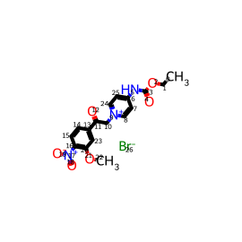 CCOC(=O)Nc1cc[n+](CC(=O)c2ccc([N+](=O)[O-])c(OC)c2)cc1.[Br-]